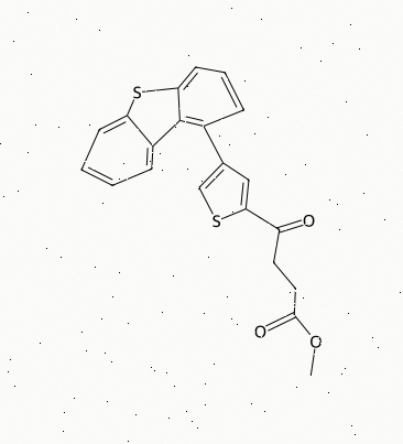 COC(=O)CCC(=O)c1cc(-c2cccc3sc4ccccc4c23)cs1